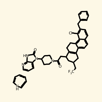 C1=CC=CNC=C1.O=C(CC1CC(CC(F)(F)F)CC2=C1CCc1c2ccc2ccc(Cc3ccccc3)c(Cl)c12)N1CCC(n2c(=O)[nH]c3ncccc32)CC1